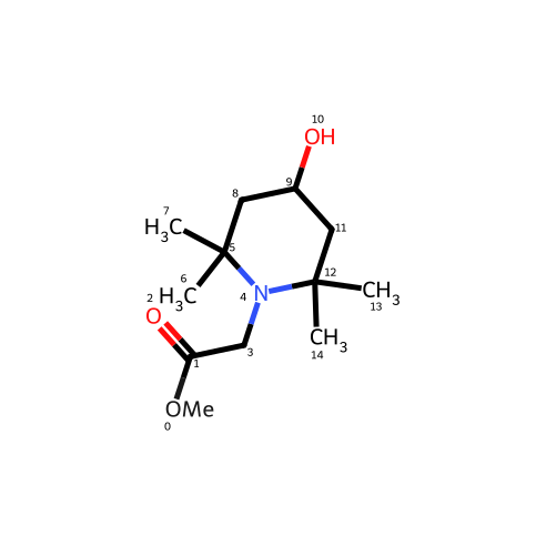 COC(=O)CN1C(C)(C)CC(O)CC1(C)C